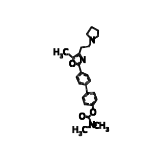 Cc1oc(-c2ccc(-c3ccc(OC(=O)N(C)C)cc3)cc2)nc1CCN1CCCC1